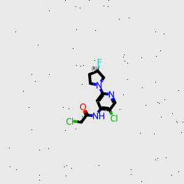 O=C(CCl)Nc1cc(N2CC[C@@H](F)C2)ncc1Cl